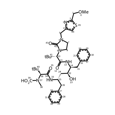 COCc1nc(CN2CCN([C@H](C(=O)N[C@@H](Cc3ccccc3)[C@@H](O)C[C@H](Cc3ccccc3)NC(=O)[C@@H](N(C)C(=O)O)C(C)(C)C)C(C)(C)C)C2=O)cs1